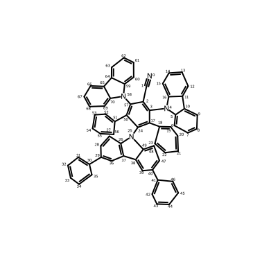 N#Cc1c(-n2c3ccccc3c3ccccc32)c(-c2ccccc2)c(-n2c3ccc(-c4ccccc4)cc3c3cc(-c4ccccc4)ccc32)c(-c2ccccc2)c1-n1c2ccccc2c2ccccc21